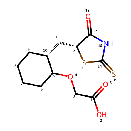 O=C(O)COC1CCCC[C@@H]1C[C@H]1SC(=S)NC1=O